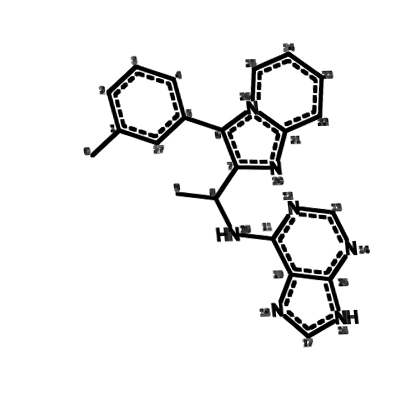 Cc1cccc(-c2c(C(C)Nc3ncnc4[nH]cnc34)nc3ccccn23)c1